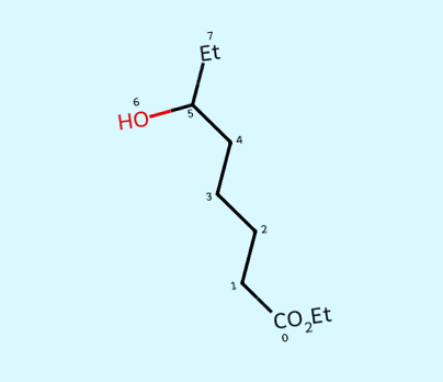 CCOC(=O)CCCCC(O)CC